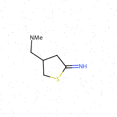 CNCC1CSC(=N)C1